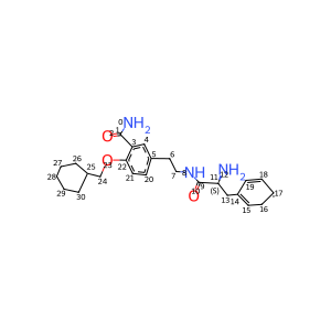 NC(=O)c1cc(CCNC(=O)[C@@H](N)CC2=CC[CH]C=C2)ccc1OCC1CCCCC1